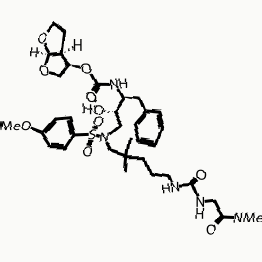 CNC(=O)CNC(=O)NCCCC(C)(C)CN(C[C@H](O)[C@H](Cc1ccccc1)NC(=O)O[C@H]1CO[C@H]2OCC[C@H]21)S(=O)(=O)c1ccc(OC)cc1